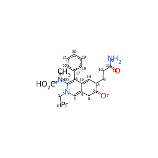 CC(C)CN1C=C2CC(=O)C(CCC(N)=O)C=C2C(c2ccccc2)=C1N(C)C(=O)O